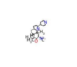 [C-]#[N+]C1=C[C@]2(C)c3nc(-c4ccncc4)ccc3CC[C@H]2C(C)(C)C1=O